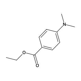 CCOC(=O)c1ccc(N(C)C)cc1